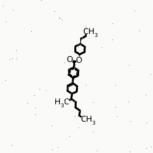 CCCCCC(C)C1CC=C(c2ccc(C(=O)O[C@H]3CC[C@H](CCC)CC3)cc2)CC1